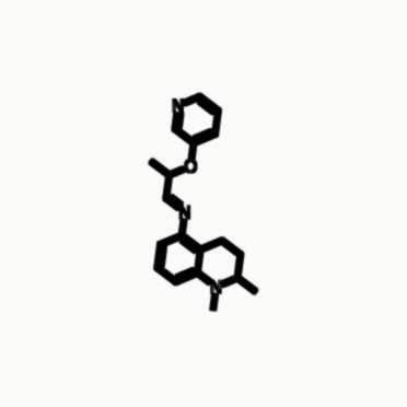 CC(/C=N/c1cccc2c1CCC(C)N2C)Oc1cccnc1